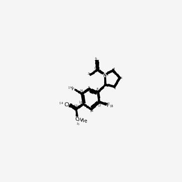 C=C(C)N1CCCC1c1cc(F)c(C(=O)OC)cc1F